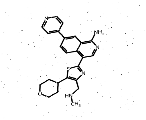 CNCc1nc(-c2cnc(N)c3cc(-c4ccncc4)ccc23)sc1C1CCOCC1